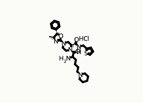 C[C@@H]1N=C(N2CCN(C(=O)C(N)CCCCN3CCCCC3)[C@H](C(=O)NCc3cccs3)C2)O[C@H]1c1ccccc1.Cl